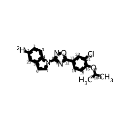 [2H]c1ccc2c(ccn2-c2noc(-c3ccc(OC(C)C)c(Cl)c3)n2)c1